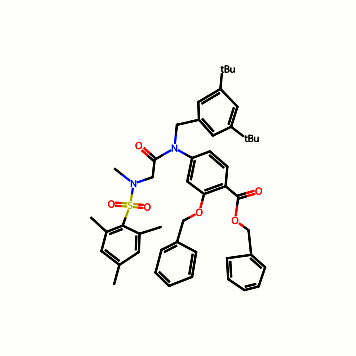 Cc1cc(C)c(S(=O)(=O)N(C)CC(=O)N(Cc2cc(C(C)(C)C)cc(C(C)(C)C)c2)c2ccc(C(=O)OCc3ccccc3)c(OCc3ccccc3)c2)c(C)c1